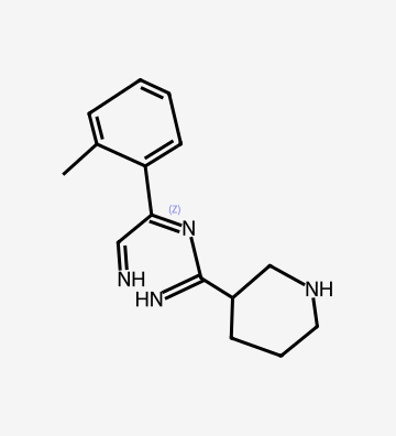 Cc1ccccc1/C(C=N)=N/C(=N)C1CCCNC1